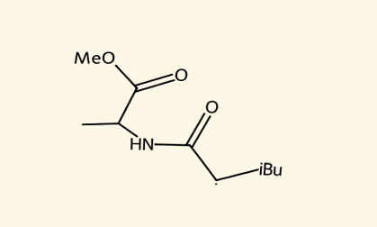 CCC(C)[CH]C(=O)NC(C)C(=O)OC